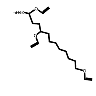 C=COCCCCCCCCC(CCC(CCCCCC)OC=C)OC=C